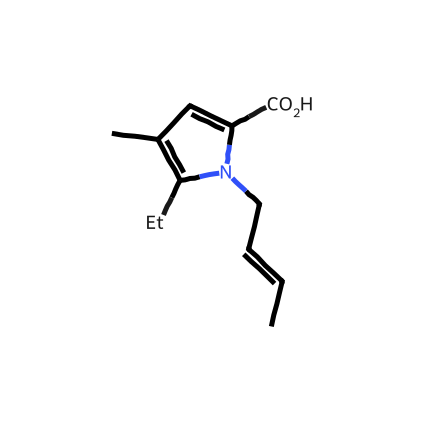 CC=CCn1c(C(=O)O)cc(C)c1CC